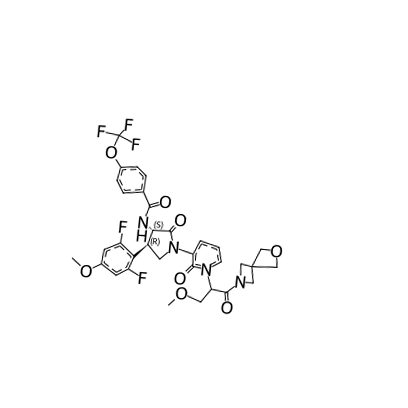 COCC(C(=O)N1CC2(COC2)C1)n1cccc(N2C[C@@H](c3c(F)cc(OC)cc3F)[C@H](NC(=O)c3ccc(OC(F)(F)F)cc3)C2=O)c1=O